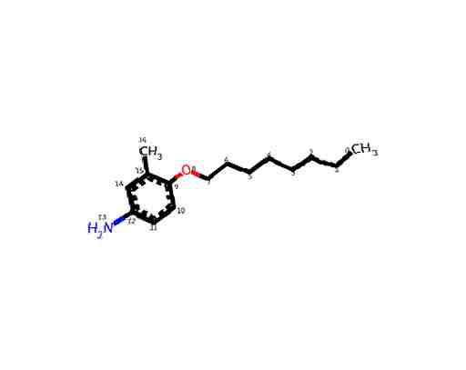 CCCCCCCCOc1ccc(N)cc1C